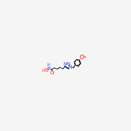 COc1ccc(Cn2cc(CCCCC(=O)NO)nn2)cc1